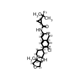 CC(C)(F)C1CC1C(=O)Nc1cc2cc(C3CCN([C@]4(C)COC[C@@H]4O)CC3)c(Cl)cc2cn1